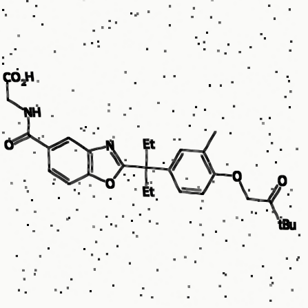 CCC(CC)(c1ccc(OCC(=O)C(C)(C)C)c(C)c1)c1nc2cc(C(=O)NCC(=O)O)ccc2o1